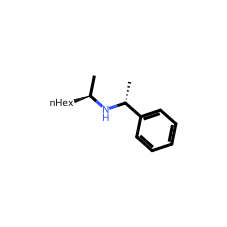 CCCCCC[C@@H](C)N[C@H](C)c1ccccc1